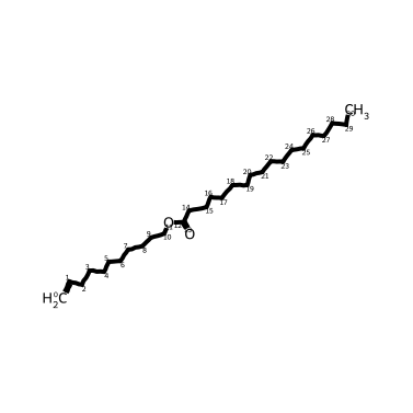 C=CCCCCCCCCCOC(=O)CCCCCCCCCCCCCCCCC